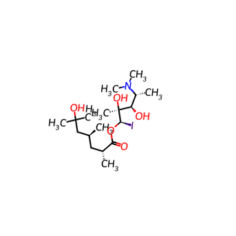 C[C@@H](C[C@@H](C)C(=O)O[C@H](I)[C@@](C)(O)[C@H](O)[C@@H](C)N(C)C)CC(C)(C)O